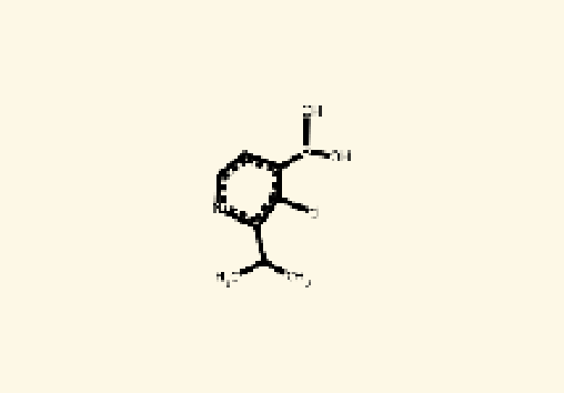 CC(C)c1nccc(B(O)O)c1Cl